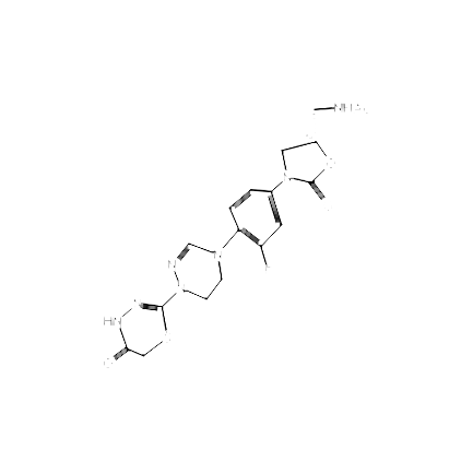 CC(=O)NC[C@H]1CN(c2ccc(N3C=NN(C4=NNC(=O)CS4)CC3)c(F)c2)C(=O)O1